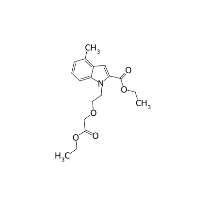 CCOC(=O)COCCn1c(C(=O)OCC)cc2c(C)cccc21